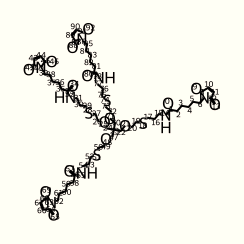 O=C(CCCCCN1C(=O)C=CC1=O)NCCCSCCOCC(COCCSCCCNC(=O)CCCCCN1C(=O)C=CC1=O)(COCCSCCCNC(=O)CCCCCN1C(=O)C=CC1=O)COCCSCCCNC(=O)CCCCCN1C(=O)C=CC1=O